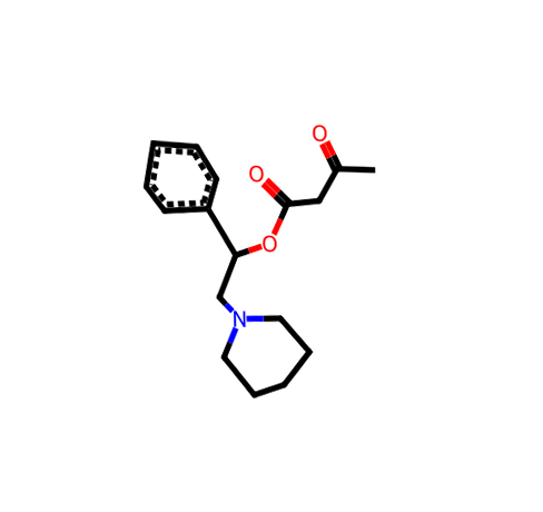 CC(=O)CC(=O)OC(CN1CCCCC1)c1ccccc1